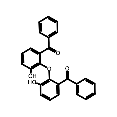 O=C(c1ccccc1)c1cccc(O)c1Oc1c(O)cccc1C(=O)c1ccccc1